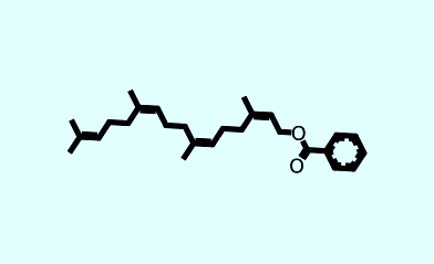 CC(C)=CCCC(C)=CCCC(C)=CCCC(C)=CCOC(=O)c1ccccc1